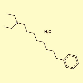 CCN(CC)CCCCCCCCc1ccccc1.O